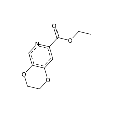 CCOC(=O)c1cc2c(cn1)OCCO2